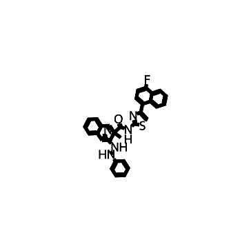 CC1(C(=O)Nc2nc(-c3ccc(F)c4ccccc34)cs2)CC2C(NNc3ccccc3)=NC1c1ccccc12